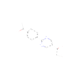 CC(=O)c1ccc(-c2ncc(C(=O)CBr)cn2)cc1